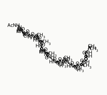 CC(=O)Nc1cn(C)c(C(=O)Nc2cc(C(=O)NCCC(=O)Nc3cn(C)c(C(=O)Nc4cn(C)c(C(=O)Nc5cc(C(=O)Nc6cn(C)c(C(=O)NCCCC(=O)Nc7cc(C(=O)Nc8cn(C)c(C(=O)NCCC(=O)Nc9cc(C(=O)Nc%10cc(C(=O)Nc%11ccc%12[nH]c(C(=O)NCCCN(C)C)cc%12c%11)n(C)c%10)n(C)c9)n8)n(C)c7)n6)n(C)c5)n4)n3)n(C)c2)n1